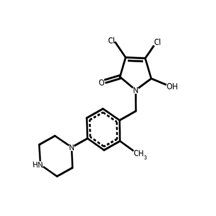 Cc1cc(N2CCNCC2)ccc1CN1C(=O)C(Cl)=C(Cl)C1O